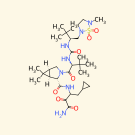 CN1CCN(C[C@@H](NC(=O)N[C@H](C(=O)N2C[C@H]3[C@@H]([C@H]2C(=O)NC(CC2CC2)C(=O)C(N)=O)C3(C)C)C(C)(C)C)C(C)(C)C)S1(=O)=O